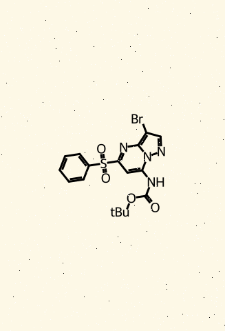 CC(C)(C)OC(=O)Nc1cc(S(=O)(=O)c2ccccc2)nc2c(Br)cnn12